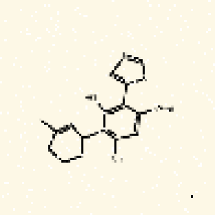 CCCCCc1cc(O)c(C2C=C(C)CCC2)c(O)c1-c1cncs1